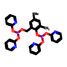 CSc1cc(C)c(OP(Oc2ccccn2)Oc2ccccn2)c(COP(Oc2ccccn2)Oc2ccccn2)c1